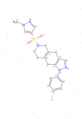 Cn1cc(S(=O)(=O)N2CCC3=C(Cc4cnn(-c5ccc(F)cc5)c4C3)C2)cn1